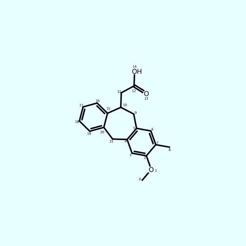 COc1cc2c(cc1C)CC(CC(=O)O)c1ccccc1C2